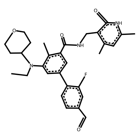 CCN(c1cc(-c2ccc(C=O)cc2F)cc(C(=O)NCc2c(C)cc(C)[nH]c2=O)c1C)C1CCOCC1